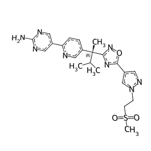 CC(C)[C@](C)(c1ccc(-c2cnc(N)nc2)nc1)c1noc(-c2cnn(CCS(C)(=O)=O)c2)n1